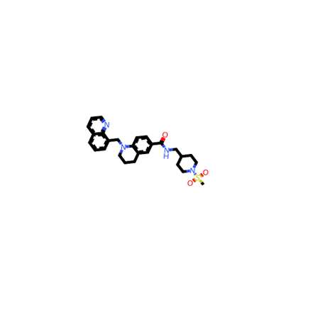 CS(=O)(=O)N1CCC(CNC(=O)c2ccc3c(c2)CCCN3Cc2cccc3cccnc23)CC1